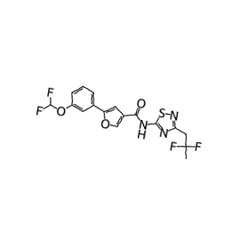 CC(F)(F)Cc1nsc(NC(=O)c2coc(-c3cccc(OC(F)F)c3)c2)n1